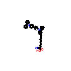 N#C\C(=C/C=C/C=C/C=C/C=C/c1ccc2c(c1)c1ccccc1n2-c1ccc(-c2ccc(-n3c4ccccc4c4ccccc43)cc2)cc1)C(=O)O